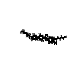 CCCCCCCC1(C#N)CCC(OC(=O)c2ccc(-c3ccc(OCCCCCC)cn3)cc2)CC1